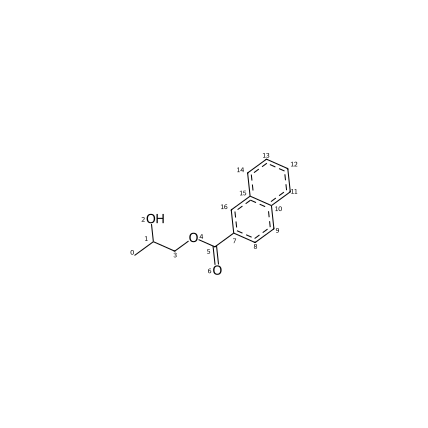 CC(O)COC(=O)c1ccc2ccccc2c1